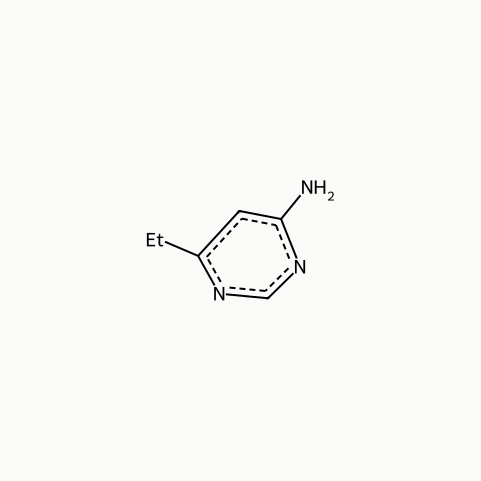 CCc1cc(N)ncn1